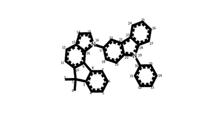 CC1(C)c2ccccc2-c2c1ccc1ccn(-c3ccc4c(c3)c3ccccc3n4-c3ccccc3)c21